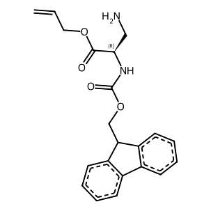 C=CCOC(=O)[C@@H](CN)NC(=O)OCC1c2ccccc2-c2ccccc21